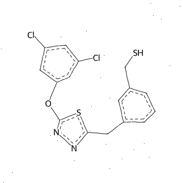 SCc1cccc(Cc2nnc(Oc3cc(Cl)cc(Cl)c3)s2)c1